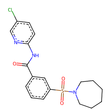 O=C(Nc1ccc(Cl)cn1)c1cccc(S(=O)(=O)N2CCCCCC2)c1